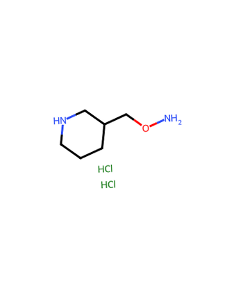 Cl.Cl.NOCC1CCCNC1